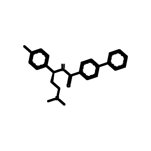 Cc1ccc([C@H](CCN(C)C)NC(=O)c2ccc(-c3ccccc3)cc2)cc1